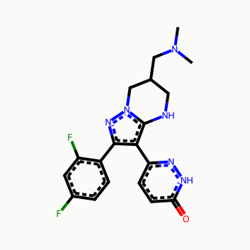 CN(C)CC1CNc2c(-c3ccc(=O)[nH]n3)c(-c3ccc(F)cc3F)nn2C1